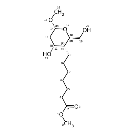 COC(=O)CCCCCC[C@@H]1[C@H](O)C[C@H](OC)O[C@H]1CO